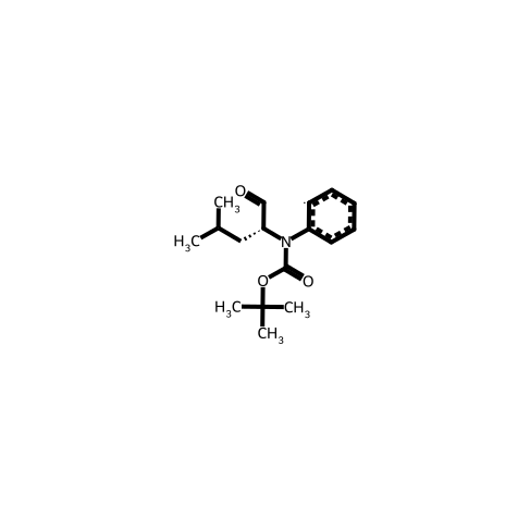 CC(C)C[C@H](C=O)N(C(=O)OC(C)(C)C)c1[c]cccc1